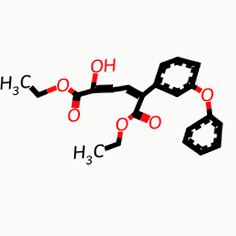 CCOC(=O)C(O)=CC=C(C(=O)OCC)c1cccc(Oc2ccccc2)c1